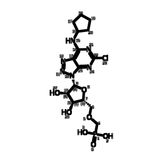 O=P(O)(O)COC[C@H]1O[C@@H](n2nnc3c(NC4CCCC4)nc(Cl)nc32)[C@H](O)[C@@H]1O